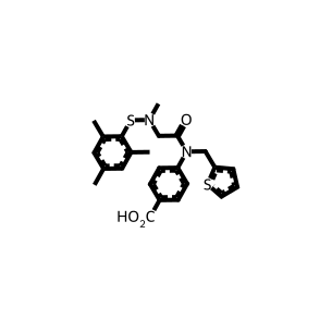 Cc1cc(C)c(SN(C)CC(=O)N(Cc2cccs2)c2ccc(C(=O)O)cc2)c(C)c1